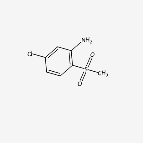 CS(=O)(=O)c1ccc(Cl)cc1N